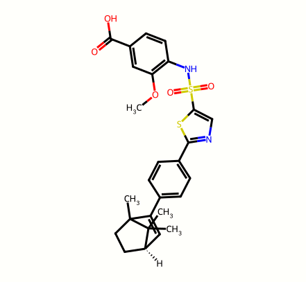 COc1cc(C(=O)O)ccc1NS(=O)(=O)c1cnc(-c2ccc(C3=C[C@H]4CCC3(C)C4(C)C)cc2)s1